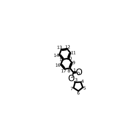 O=C(OC1CCCC1)c1[c]c2ccccc2cc1